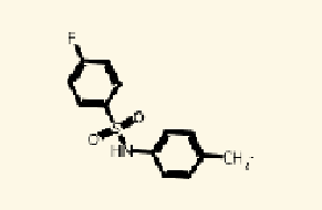 [CH2]c1ccc(NS(=O)(=O)c2ccc(F)cc2)cc1